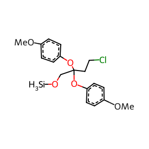 COc1ccc(OC(CCCl)(CO[SiH3])Oc2ccc(OC)cc2)cc1